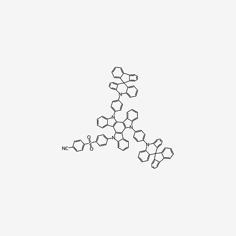 N#Cc1ccc(S(=O)(=O)c2ccc(-n3c4ccccc4c4c5c(c6ccccc6n5-c5ccc(N6c7ccccc7C7(c8ccccc8-c8ccccc87)c7ccccc76)cc5)c5c(c6ccccc6n5-c5ccc(N6c7ccccc7C7(c8ccccc8-c8ccccc87)c7ccccc76)cc5)c43)cc2)cc1